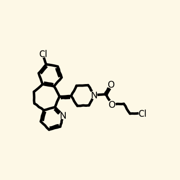 O=C(OCCCl)N1CCC(=C2c3ccc(Cl)cc3CCc3cccnc32)CC1